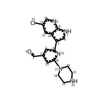 O=Cc1cc(-c2c[nH]c3ncc(Cl)cc23)nc(N2CCNCC2)c1